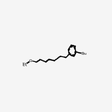 CCOCCCCCCCc1cccc(C(C)(C)C)c1